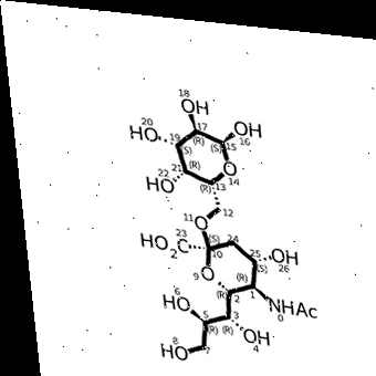 CC(=O)N[C@H]1[C@H]([C@H](O)[C@H](O)CO)O[C@](OC[C@H]2O[C@H](O)[C@H](O)[C@@H](O)[C@H]2O)(C(=O)O)C[C@@H]1O